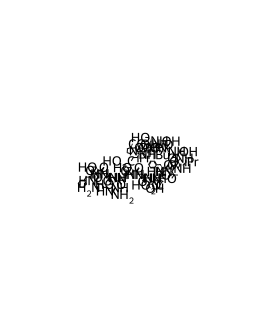 CC[C@H](C)[C@H](NC(=O)[C@@H](NC(=O)[C@H](CC(C)C)NC(=O)[C@@H](NC(=O)[C@H](Cc1ccccc1)NC(=O)[C@H](CC(=O)O)NC(=O)[C@@H](NC(=O)CNC(=O)[C@H](CO)NC(=O)CNC(=O)[C@H](CO)NC(=O)CNC(=O)[C@H](CO)NC(=O)[C@H](Cc1ccccc1)NC(=O)[C@@H](N)CCCNC(=N)N)[C@@H](C)O)[C@@H](C)O)[C@@H](C)O)C(=O)N[C@@H](CO)C(=O)N[C@@H](CO)C(=O)N[C@@H](CC(C)C)C(=O)N[C@@H](CCC(=O)O)C(=O)N1CCC[C@H]1C(=O)O